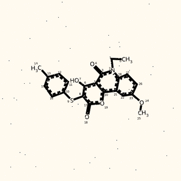 CCn1c(=O)c2c(O)c(Sc3ccc(C)cc3)c(=O)oc2c2cc(OC)ccc21